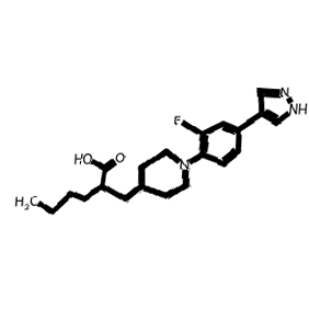 CCCCC(CC1CCN(c2ccc(-c3cn[nH]c3)cc2F)CC1)C(=O)O